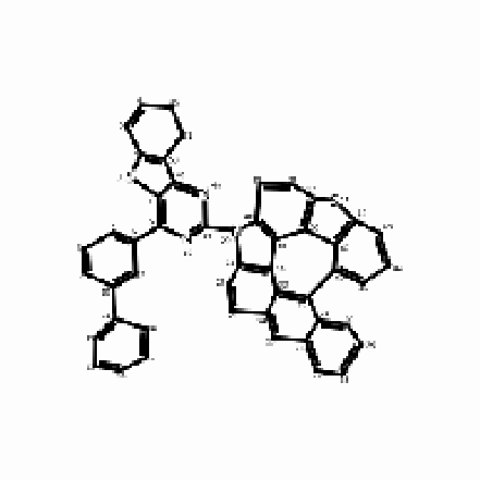 C1=Cc2sc3c(-c4cccc(-c5ccccc5)c4)nc(-n4c5ccc6cc7ccccc7c7c6c5c5c6c(ccc54)sc4cccc-7c46)nc3c2CC1